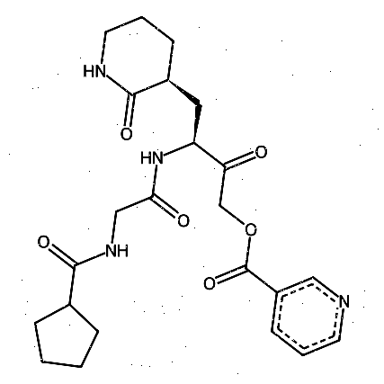 O=C(CNC(=O)C1CCCC1)N[C@@H](C[C@@H]1CCCNC1=O)C(=O)COC(=O)c1cccnc1